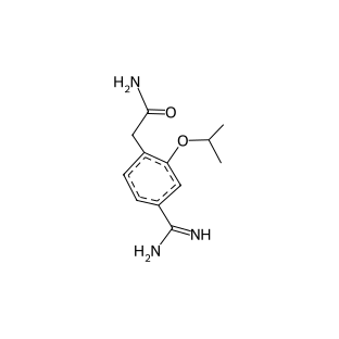 CC(C)Oc1cc(C(=N)N)ccc1CC(N)=O